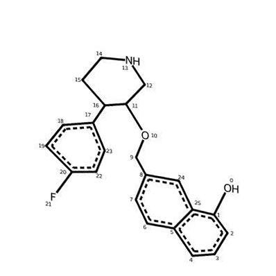 Oc1cccc2ccc(COC3CNCCC3c3ccc(F)cc3)cc12